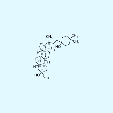 C[C@H](CCC1(O)CCC(C)(C)CC1)[C@H]1CC[C@H]2[C@@H]3CC[C@H]4C[C@](O)(C(F)(F)F)CC[C@@H]4[C@H]3CC[C@]12C